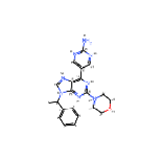 CC(c1ccccc1)n1cnc2c(-c3cnc(N)nc3)nc(N3CCOCC3)nc21